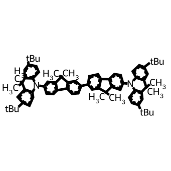 CC(C)(C)c1ccc2c(c1)C(C)(C)c1cc(C(C)(C)C)ccc1N2c1ccc2c(c1)C(C)(C)c1cc(-c3ccc4c(c3)C(C)(C)c3cc(N5c6ccc(C(C)(C)C)cc6C(C)(C)c6cc(C(C)(C)C)ccc65)ccc3-4)ccc1-2